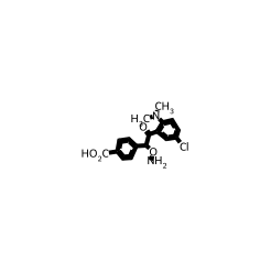 CN(C)c1ccc(Cl)cc1C(=O)C(ON)c1ccc(C(=O)O)cc1